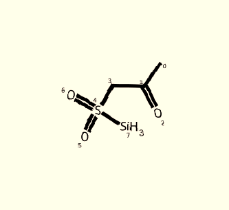 CC(=O)CS(=O)(=O)[SiH3]